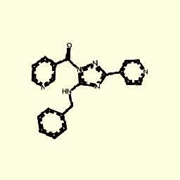 O=C(c1cccnc1)n1nc(-c2ccncc2)nc1NCc1ccccc1